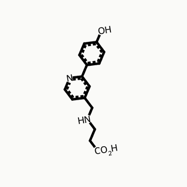 O=C(O)CCNCc1ccnc(-c2ccc(O)cc2)c1